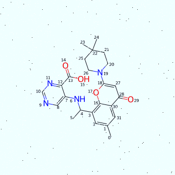 Cc1cc(C(C)Nc2cncnc2C(=O)O)c2oc(N3CCC(C)(C)CC3)cc(=O)c2c1